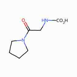 O=C(O)NCC(=O)N1CCCC1